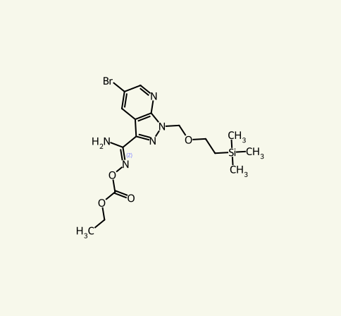 CCOC(=O)O/N=C(\N)c1nn(COCC[Si](C)(C)C)c2ncc(Br)cc12